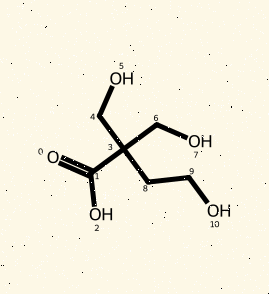 O=C(O)C(CO)(CO)CCO